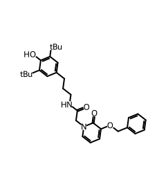 CC(C)(C)c1cc(CCCNC(=O)Cn2cccc(OCc3ccccc3)c2=O)cc(C(C)(C)C)c1O